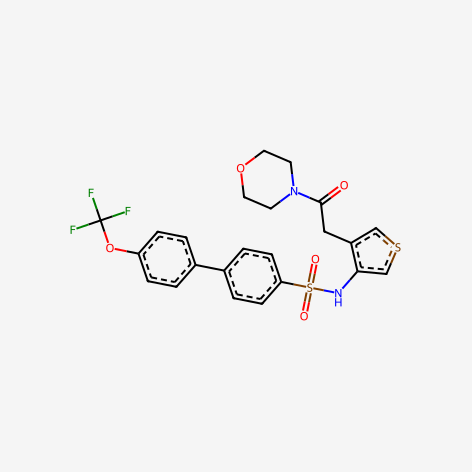 O=C(Cc1cscc1NS(=O)(=O)c1ccc(-c2ccc(OC(F)(F)F)cc2)cc1)N1CCOCC1